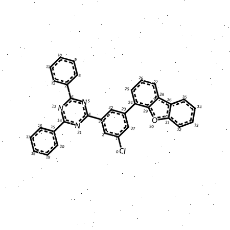 Clc1cc(-c2nc(-c3ccccc3)nc(-c3ccccc3)n2)cc(-c2cccc3c2oc2ccccc23)c1